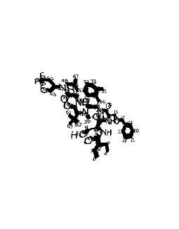 CCC(CC)C(=O)N[C@@H](CO)C(=O)N[C@H](COCc1ccccc1)C(=O)N[C@@H](Cc1ccccc1C)C(=O)N(C)[C@H](C(=O)N[C@@H](CC(C)C)C(=O)NC(C=O)CC(F)(F)F)C(C)(C)C